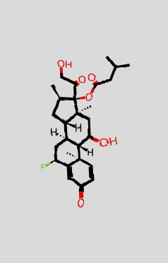 CC(C)CC(=O)O[C@]1(C(=O)CO)[C@H](C)C[C@H]2[C@@H]3C[C@H](F)C4=CC(=O)C=C[C@]4(C)[C@H]3C(O)C[C@@]21C